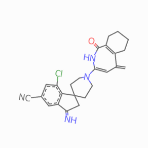 C=C1C=C(N2CCC3(CC2)CC(=N)c2cc(C#N)cc(Cl)c23)NC(=O)C2=C1CCCC2